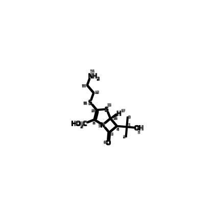 CC(C)(O)C1C(=O)N2C(C(=O)O)=C(SCCN)S[C@H]12